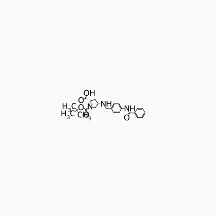 CC(C)(C)OC(=O)N1C[C@@H](NCc2ccc(NC(=O)c3ccccc3)cc2)C[C@H]1C(=O)O